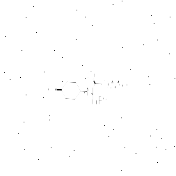 CCCN(C(=O)OC)C1CCC(=O)CC1